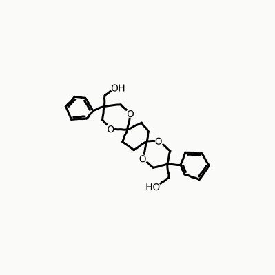 OCC1(c2ccccc2)COC2(CCC3(CC2)OCC(CO)(c2ccccc2)CO3)OC1